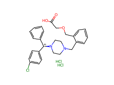 Cl.Cl.O=C(O)COCc1ccccc1CN1CCN([C@H](c2ccccc2)c2ccc(Cl)cc2)CC1